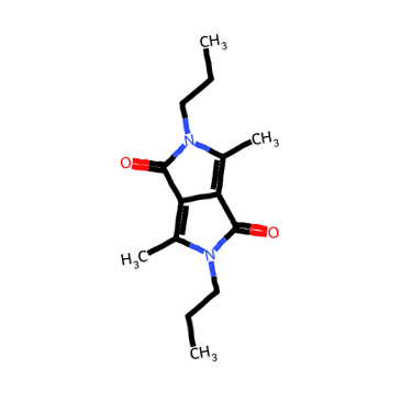 CCCN1C(=O)C2=C(C)N(CCC)C(=O)C2=C1C